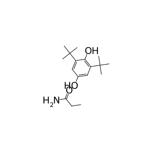 CC(C)(C)c1cc(O)cc(C(C)(C)C)c1O.CCC(N)=O